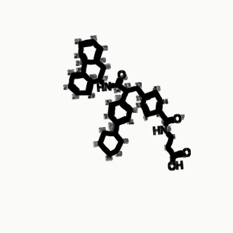 O=C(O)CCNC(=O)c1ccc(CC(C(=O)NC2Cc3ccccc3-c3ccccc32)c2ccc(C3CCCCC3)cc2)cc1